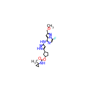 COCc1cc2c(Nc3cc(C4CCC(OC(=O)NC5(C)CC5)C4)[nH]n3)ncc(F)n2n1